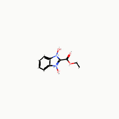 CCOC(=O)c1n(O)c2ccccc2[n+]1[O-]